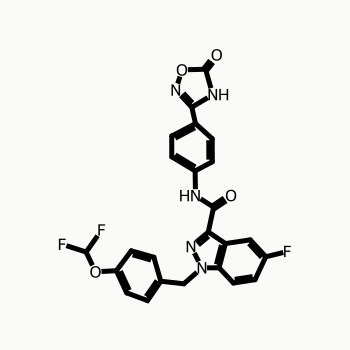 O=C(Nc1ccc(-c2noc(=O)[nH]2)cc1)c1nn(Cc2ccc(OC(F)F)cc2)c2ccc(F)cc12